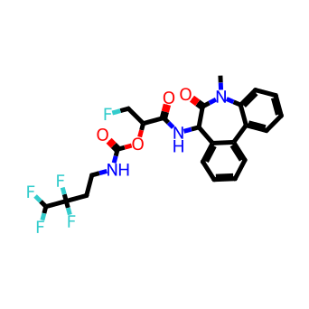 CN1C(=O)C(NC(=O)C(CF)OC(=O)NCCC(F)(F)C(F)F)c2ccccc2-c2ccccc21